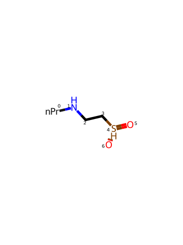 CCCNCC[SH](=O)=O